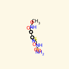 COCCNC(=O)c1ccc(-c2ccc3nc(CC(=O)NCCS(N)(=O)=O)sc3c2)cc1